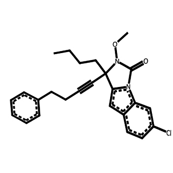 CCCCC1(C#CCCc2ccccc2)c2cc3ccc(Cl)cc3n2C(=O)N1OC